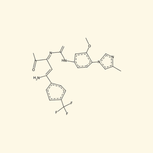 C=C(/N=C(\C=C(/N)c1ccc(C(F)(F)F)cc1)C(C)=O)Nc1ccc(-n2cnc(C)c2)c(OC)c1